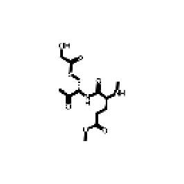 CN[C@@H](CCC(=O)OC)C(=O)N[C@@H](CSC(=O)CO)C(C)=O